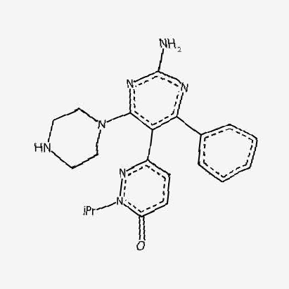 CC(C)n1nc(-c2c(-c3ccccc3)nc(N)nc2N2CCNCC2)ccc1=O